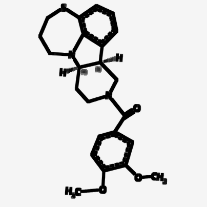 COc1ccc(C(=O)N2CC[C@@H]3[C@H](C2)c2cccc4c2N3CCCS4)cc1OC